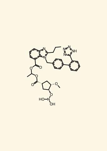 CCCc1nc2cccc(C(=O)OC(C)OC(=O)[C@@H]3C[C@H](OC)[C@@H](ON(O)O)C3)c2n1Cc1ccc(-c2ccccc2-c2nnn[nH]2)cc1